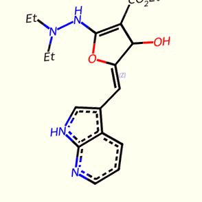 CCOC(=O)C1=C(NN(CC)CC)O/C(=C\c2c[nH]c3ncccc23)C1O